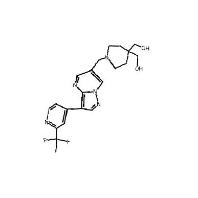 OCC1(CO)CCN(Cc2cnc3c(-c4ccnc(C(F)(F)F)c4)cnn3c2)CC1